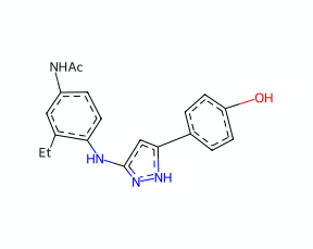 CCc1cc(NC(C)=O)ccc1Nc1cc(-c2ccc(O)cc2)[nH]n1